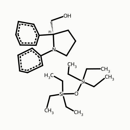 CC[Si](CC)(CC)O[Si](CC)(CC)CC.OC[C@]1(c2ccccc2)CCCN1c1ccccc1